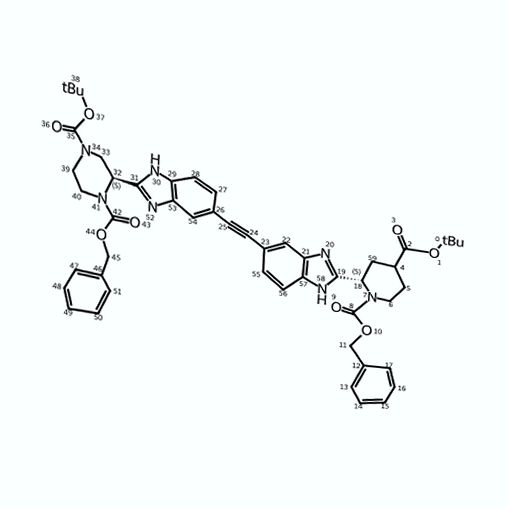 CC(C)(C)OC(=O)C1CCN(C(=O)OCc2ccccc2)[C@H](c2nc3cc(C#Cc4ccc5[nH]c([C@@H]6CN(C(=O)OC(C)(C)C)CCN6C(=O)OCc6ccccc6)nc5c4)ccc3[nH]2)C1